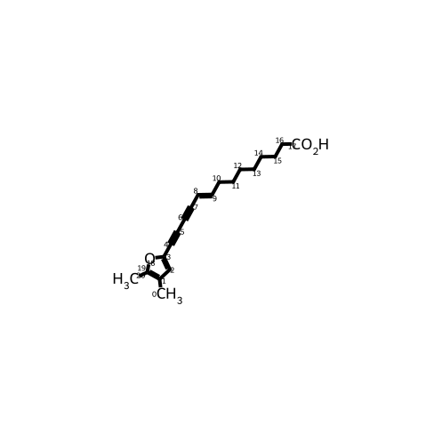 Cc1cc(C#CC#CC=CCCCCCCCC(=O)O)oc1C